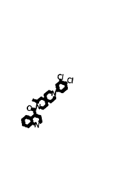 CC1CC2(CCN(c3ccc(Cl)c(Cl)c3)CC2)CCN1C(=O)c1ccnc2ccccc12